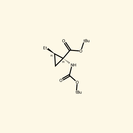 CC[C@@H]1C[C@]1(NC(=O)OC(C)(C)C)C(=O)OC(C)(C)C